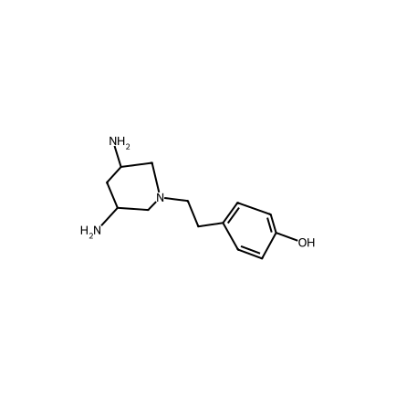 NC1CC(N)CN(CCc2ccc(O)cc2)C1